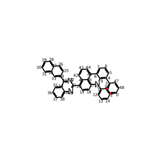 c1ccc(-c2cccc3c2N(c2ccccc2)c2ccc(-c4nc(-c5ccc6ccccc6c5)c5ccccc5n4)c4cccc-3c24)cc1